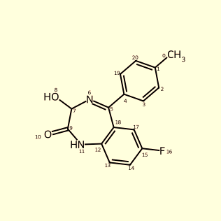 Cc1ccc(C2=NC(O)C(=O)Nc3ccc(F)cc32)cc1